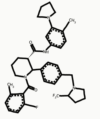 Cc1ccc(NC(=O)[C@H]2CCCN(C(=O)c3c(C)cccc3F)C2c2ccc(CN3CCCC3C(F)(F)F)cc2)cc1N1CCCC1